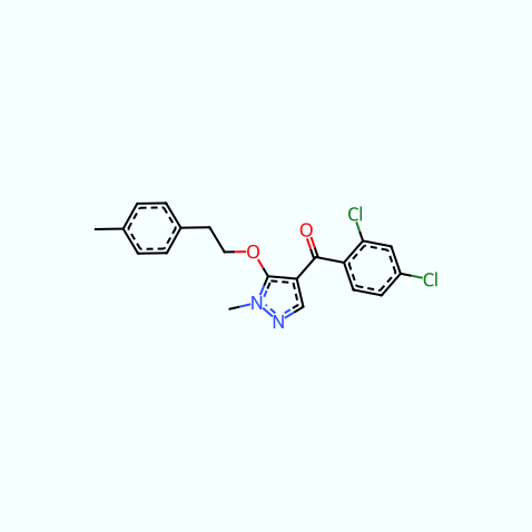 Cc1ccc(CCOc2c(C(=O)c3ccc(Cl)cc3Cl)cnn2C)cc1